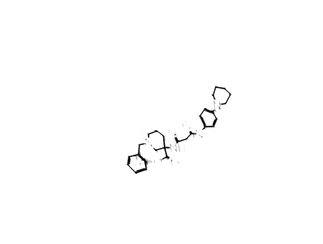 COC(=O)C1(NC(=O)CC(=O)Nc2ccc(N3CCCCC3)cc2)CCCN(Cc2ccccc2)C1